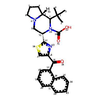 CC(C)(C)C1[C@H]2CCCN2C[C@@H](c2nc(C(=O)c3cccc4ccccc34)cs2)N1C(=O)O